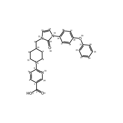 O=C(O)c1cnc(N2CCC(Cn3ccn(-c4ccc(Oc5ccccc5)cc4)c3=O)CC2)nc1